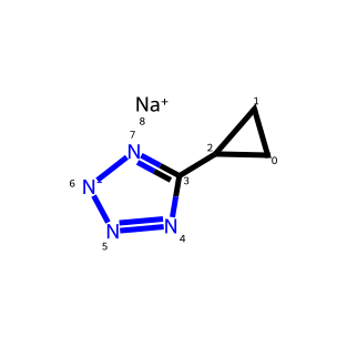 C1CC1c1nn[n-]n1.[Na+]